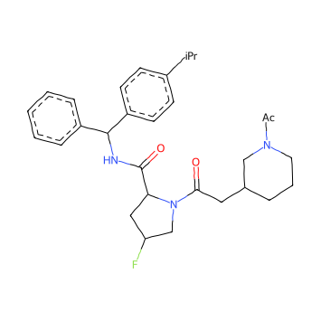 CC(=O)N1CCCC(CC(=O)N2CC(F)CC2C(=O)NC(c2ccccc2)c2ccc(C(C)C)cc2)C1